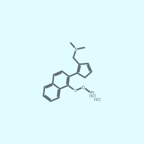 CC(C)[O][Ti][c]1c(C2=C(CN(C)C)C=CC2)ccc2ccccc12.Cl.Cl